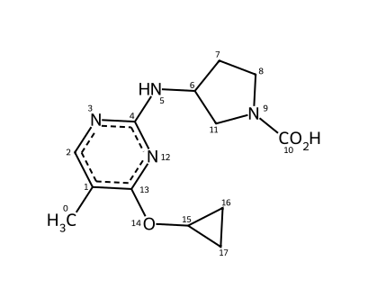 Cc1cnc(NC2CCN(C(=O)O)C2)nc1OC1CC1